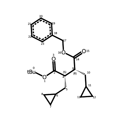 CC(C)(C)OC(=O)[C@@H](CC1CC1)[C@@H](CC1CC1)C(=O)OCc1ccccc1